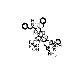 CC(C)C[C@@H](NC(=O)[C@@H](Cc1ccccc1)NC(=O)[C@H](N)Cc1ccccc1)C(=O)N[C@H](CCCCN)C(=O)N1CC(N2CCCC2)(P(=O)(O)O)C1.O=C(O)C(F)(F)F